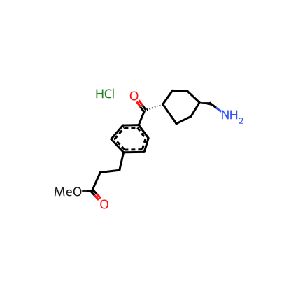 COC(=O)CCc1ccc(C(=O)[C@H]2CC[C@H](CN)CC2)cc1.Cl